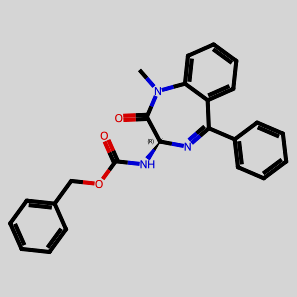 CN1C(=O)[C@H](NC(=O)OCc2ccccc2)N=C(c2ccccc2)c2ccccc21